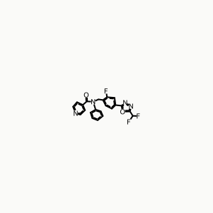 O=C(c1ccncc1)N(Cc1ccc(-c2nnc(C(F)F)o2)cc1F)c1ccccc1